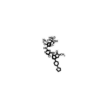 CCC(CC)(c1ccc(Nc2ncc(Cl)c(Nc3ccc(C4CCC(N5CCCC5)CC4)c4c3C(=O)N(C)C4)n2)c(OC)c1)P(=O)(O)O